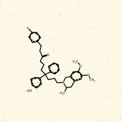 COc1cc2c(cc1OC)CN(CCCC(CCCC(=O)CCc1ccc(F)cc1)(c1ccccc1)c1ccccc1)C(C)C2.Cl